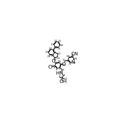 CC(C)(O)CNCc1cc(Cl)c(O[C@H]2CCc3c(-c4ccccc4)cccc32)cc1OCc1cncc(C#N)c1